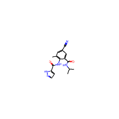 Cc1cc(C#N)cc(C(=O)NC(C)C)c1NC(=O)c1ccn[nH]1